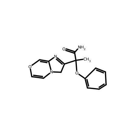 CC(Oc1ccccc1)(C(N)=O)C1=NC2=COC=CN2C1